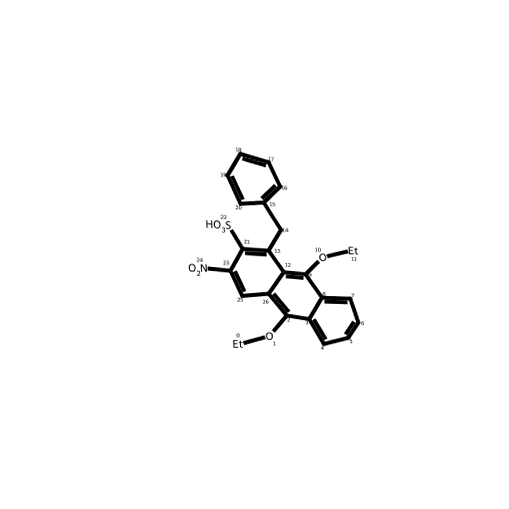 CCOc1c2ccccc2c(OCC)c2c(Cc3ccccc3)c(S(=O)(=O)O)c([N+](=O)[O-])cc12